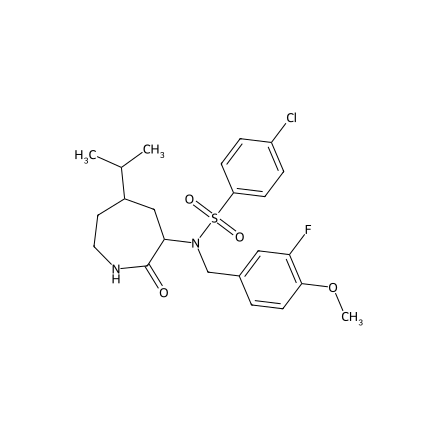 COc1ccc(CN(C2CC(C(C)C)CCNC2=O)S(=O)(=O)c2ccc(Cl)cc2)cc1F